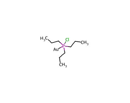 CCC[P](Cl)([Au])(CCC)CCC